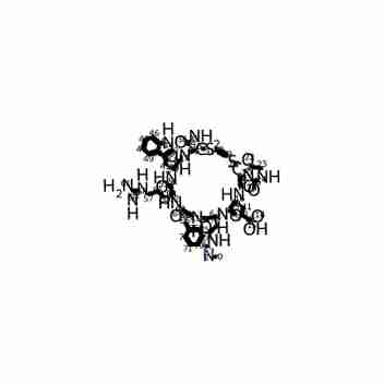 C/N=C\NCC[C@@H]1NC(=O)[C@H](CCC(=O)O)NC(=O)[C@@H](N2C(=O)CNC2=O)CSC#CSC[C@@H](C(N)=O)NC(=O)[C@H](Cc2c[nH]c3ccccc23)NC(=O)[C@H](CCCNC(=N)N)NC(=O)[C@@H](Cc2ccccc2)NC1=O